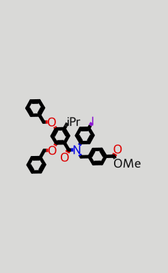 COC(=O)c1ccc(CN(C(=O)c2cc(C(C)C)c(OCc3ccccc3)cc2OCc2ccccc2)c2ccc(I)cc2)cc1